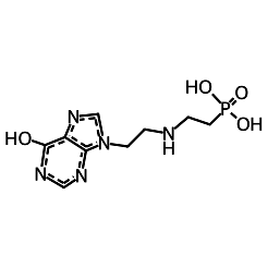 O=P(O)(O)CCNCCn1cnc2c(O)ncnc21